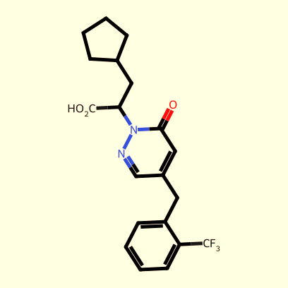 O=C(O)C(CC1CCCC1)n1ncc(Cc2ccccc2C(F)(F)F)cc1=O